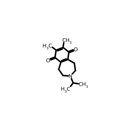 CC1=C(C)C(=O)C2=C(CCN(C(C)C)CC2)C1=O